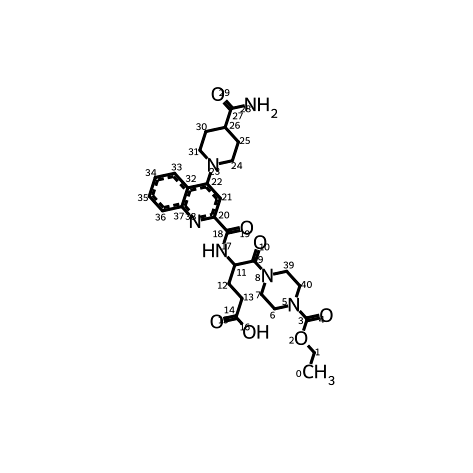 CCOC(=O)N1CCN(C(=O)C(CCC(=O)O)NC(=O)c2cc(N3CCC(C(N)=O)CC3)c3ccccc3n2)CC1